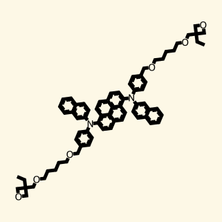 CCC1(COCCCCCOCc2ccc(N(c3ccc4ccccc4c3)c3ccc4ccc5c(N(c6ccc(COCCCCCOCC7(CC)COC7)cc6)c6ccc7ccccc7c6)ccc6ccc3c4c65)cc2)COC1